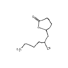 N#CC(CCCC(F)(F)F)CC1CCC(=O)O1